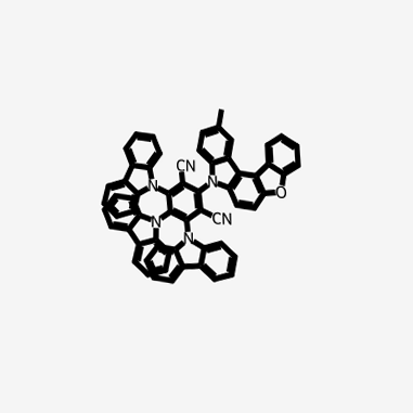 Cc1ccc2c(c1)c1c3c(ccc1n2-c1c(C#N)c(-n2c4ccccc4c4ccccc42)c(-n2c4ccccc4c4ccccc42)c(-n2c4ccccc4c4ccccc42)c1C#N)oc1ccccc13